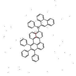 c1ccc(-c2c(-c3ccccc3)c(-c3ccccc3)c3c(-c4ccc(N(c5ccccc5)c5cc6ccccc6c6ccccc56)cc4)cccc3c2-c2ccccc2)cc1